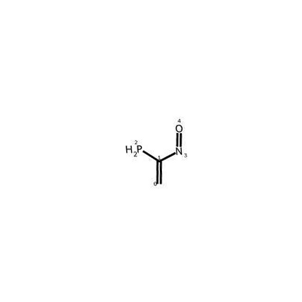 C=C(P)N=O